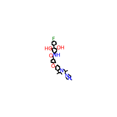 Cc1c(C)n(CC(C)CN2CCN(C)CC2)c2ccc(Oc3ccc(C(=O)Nc4cc(O)c(-c5ccc(F)cc5)c(O)c4)cc3)cc12